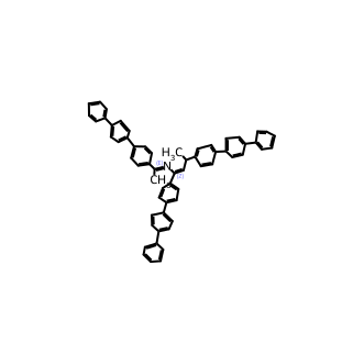 C/C(=N\C(=C/C(C)c1ccc(-c2ccc(-c3ccccc3)cc2)cc1)c1ccc(-c2ccc(-c3ccccc3)cc2)cc1)c1ccc(-c2ccc(-c3ccccc3)cc2)cc1